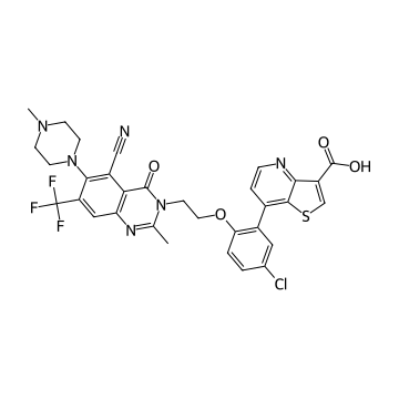 Cc1nc2cc(C(F)(F)F)c(N3CCN(C)CC3)c(C#N)c2c(=O)n1CCOc1ccc(Cl)cc1-c1ccnc2c(C(=O)O)csc12